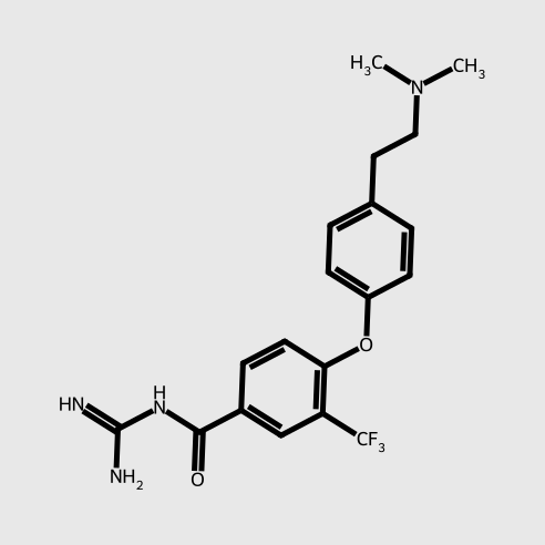 CN(C)CCc1ccc(Oc2ccc(C(=O)NC(=N)N)cc2C(F)(F)F)cc1